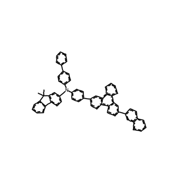 CC1(C)c2ccccc2-c2ccc(N(c3ccc(-c4ccccc4)cc3)c3ccc(-c4ccc5c6ccc(-c7ccc8ccccc8c7)cc6c6ccccc6c5c4)cc3)cc21